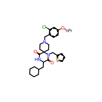 CCCOc1ccc(CN2CCC3(CC2)C(=O)NC(CC2CCCCC2)C(=O)N3Cc2cccs2)c(Cl)c1